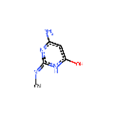 N#C/N=c1/nc(N)cc(O)[nH]1